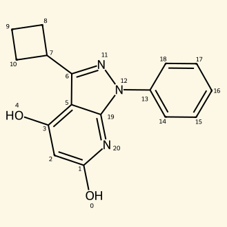 Oc1cc(O)c2c(C3CCC3)nn(-c3ccccc3)c2n1